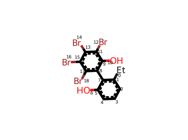 CCc1cccc(O)c1-c1c(O)c(Br)c(Br)c(Br)c1Br